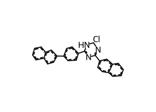 ClC1N=C(c2ccc3ccccc3c2)N=C(c2ccc(-c3ccc4ccccc4c3)cc2)N1